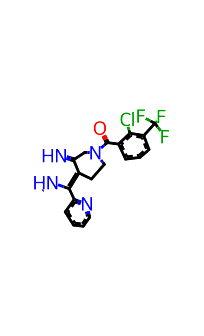 CN/C(=C1/CCN(C(=O)c2cccc(C(F)(F)F)c2Cl)CC1=N)c1ccccn1